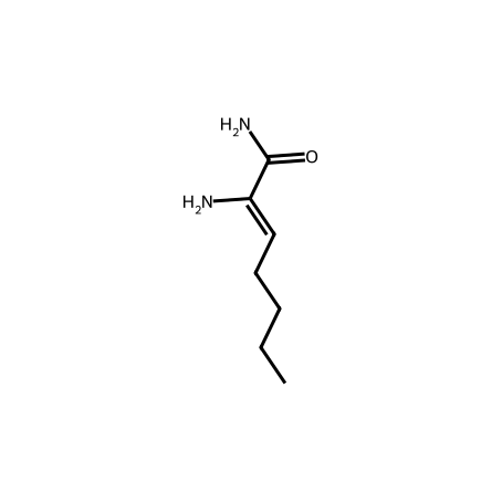 CCCCC=C(N)C(N)=O